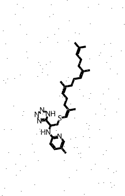 CC(C)=CCCC(C)=CCCC(C)=CCCC(C)=CSCC(Nc1ccc(C)cn1)c1nnn[nH]1